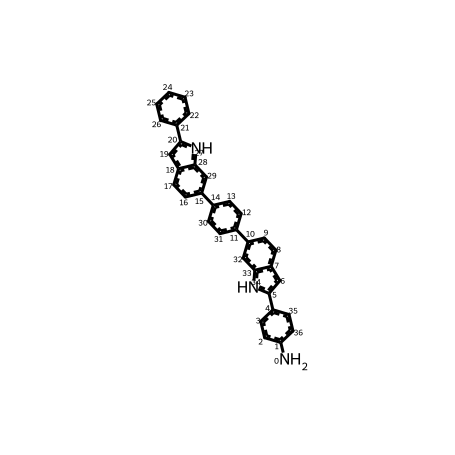 Nc1ccc(-c2cc3ccc(-c4ccc(-c5ccc6cc(-c7ccccc7)[nH]c6c5)cc4)cc3[nH]2)cc1